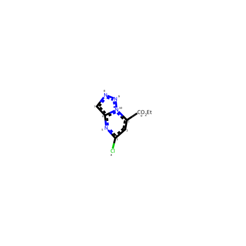 CCOC(=O)c1cc(Cl)nc2cnnn12